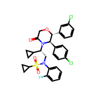 O=C1CO[C@H](c2cccc(Cl)c2)[C@@H](c2ccc(Cl)cc2)N1[C@H](CN(c1ccccc1F)S(=O)(=O)C1CC1)C1CC1